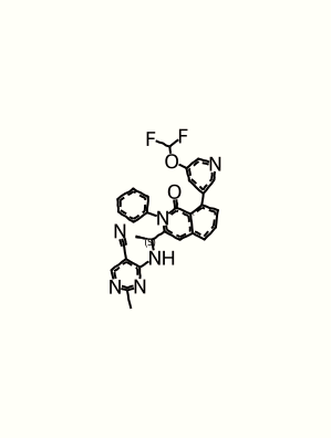 Cc1ncc(C#N)c(N[C@@H](C)c2cc3cccc(-c4cncc(OC(F)F)c4)c3c(=O)n2-c2ccccc2)n1